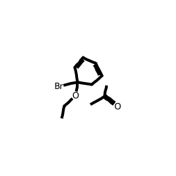 CC(C)=O.CCOC1(Br)C=CC=CC1